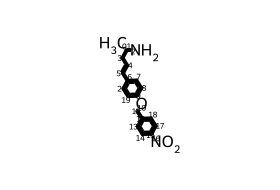 CC(N)CC=Cc1ccc(OCc2ccc([N+](=O)[O-])cc2)cc1